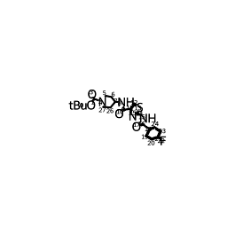 CC(C)(C)OC(=O)N1CCC(NC(=O)c2csc(NC(=O)c3ccc(F)cc3)n2)CC1